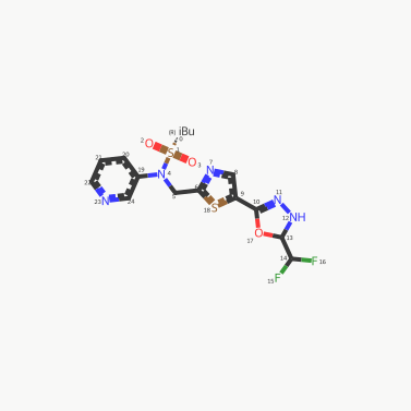 CC[C@@H](C)S(=O)(=O)N(Cc1ncc(C2=NNC(C(F)F)O2)s1)c1cccnc1